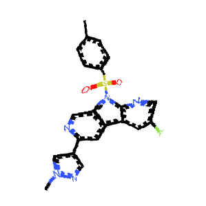 Cc1ccc(S(=O)(=O)n2c3cnc(-c4cnn(C)c4)cc3c3cc(F)cnc32)cc1